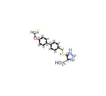 O=C(O)c1nn[nH]c1SCc1ccc(-c2ccc(OC(F)F)cc2)cc1